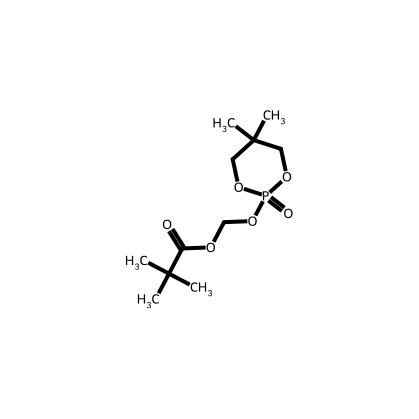 CC1(C)COP(=O)(OCOC(=O)C(C)(C)C)OC1